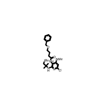 CNc1cc(Cl)nc(NC(C)(C)CC(C)(C)C)c1NC(=O)CCCOCc1ccccc1